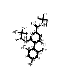 C[C@H](Nc1nc(C(=O)NC(C)(C)C)nc(Cl)c1-c1c(F)cc(F)cc1F)C(F)(F)F